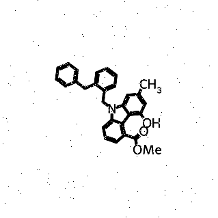 COC(=O)c1cccc2c1c1c(O)cc(C)cc1n2Cc1ccccc1Cc1ccccc1